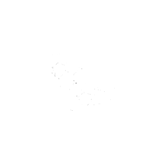 O=C1c2cc(Br)cnc2CCN1Cc1cc(F)cc(F)c1OC1CC1